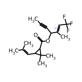 CC#CC(OC(=O)C1C(C=C(C)C)C1(C)C)/C(C)=C/C(F)(F)F